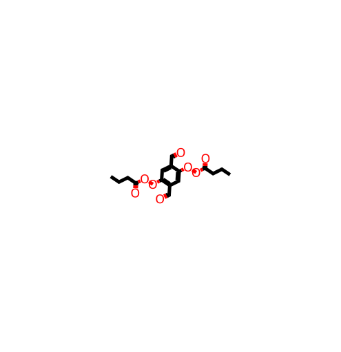 CCCC(=O)OOc1cc(C=O)c(OOC(=O)CCC)cc1C=O